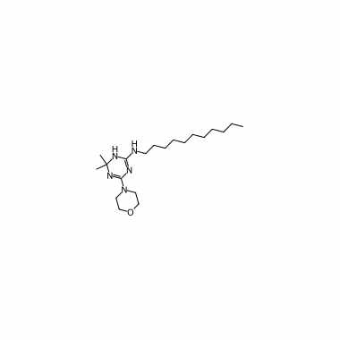 CCCCCCCCCCCNC1=NC(N2CCOCC2)=NC(C)(C)N1